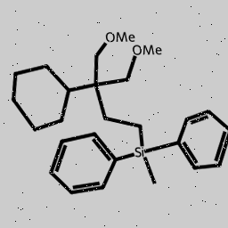 COCC(CC[Si](C)(c1ccccc1)c1ccccc1)(COC)C1CCCCC1